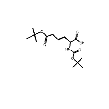 CC(C)(C)OC(=O)CCC[C@H](NC(=O)OC(C)(C)C)C(=O)O